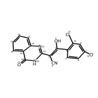 N#CC(=C(O)c1ccc(Cl)cc1Cl)c1nc2ccccc2c(=O)[nH]1